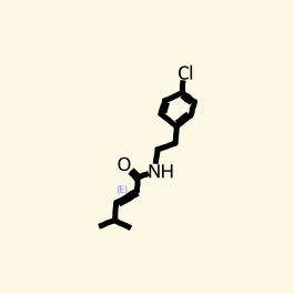 CC(C)/C=C/C(=O)NCCc1ccc(Cl)cc1